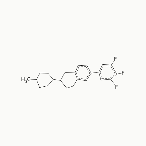 CC1CCC(C2CCc3cc(-c4cc(F)c(F)c(F)c4)ccc3C2)CC1